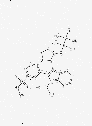 CNS(=O)(=O)c1ccc(N2CCC(O[Si](C)(C)C(C)(C)C)C2)c(-c2cc3ccccc3n2C(=O)O)c1